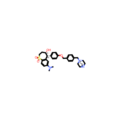 CN(C)c1ccc2c(c1)[C@@H](c1ccc(OCc3ccc(C[N+]45CCN(CC4)CC5)cc3)cc1)[C@@H](O)CCS2(=O)=O